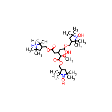 COC(C(=O)OCC1CC(C)(C)N(O)C1(C)C)C(CC(=O)OCC1CC(C)(C)NC1(C)C)CC(O)OCC1CC(C)(C)N(O)C1(C)C